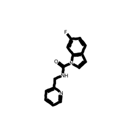 O=C(NCc1ccccn1)n1ccc2ccc(F)cc21